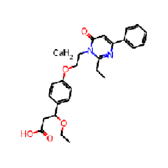 CCOC(CC(=O)O)c1ccc(OCCn2c(CC)nc(-c3ccccc3)cc2=O)cc1.[CaH2]